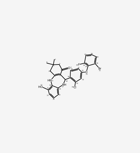 CC1(C)CC(=O)C2=C(C1)Nc1c(O)cccc1NC2c1ccc(Oc2c(F)cccc2Br)cc1Cl